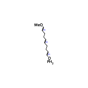 CO/C=C/CC/C=C/CC/C=C/OP